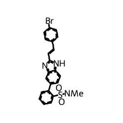 CNS(=O)(=O)c1ccccc1-c1ccc2[nH]c(C=Cc3ccc(Br)cc3)nc2c1